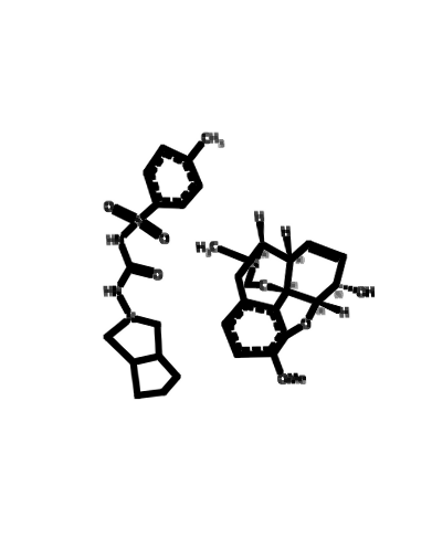 COc1ccc2c3c1O[C@H]1[C@@H](O)C=C[C@H]4[C@@H](C2)N(C)CC[C@@]341.Cc1ccc(S(=O)(=O)NC(=O)NN2CC3CCCC3C2)cc1